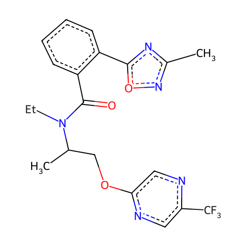 CCN(C(=O)c1ccccc1-c1nc(C)no1)C(C)COc1cnc(C(F)(F)F)cn1